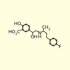 CC(CCc1ccc(F)cc1)NCC(O)c1ccc(O)c(C(=O)O)c1